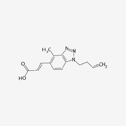 C=CCCn1nnc2c(C)c(/C=C/C(=O)O)ccc21